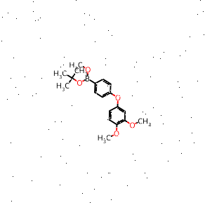 COB(OC(C)(C)C)c1ccc(Oc2ccc(OC)c(OC)c2)cc1